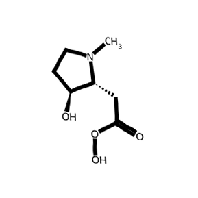 CN1CC[C@H](O)[C@H]1CC(=O)OO